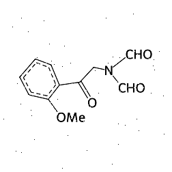 COc1ccccc1C(=O)CN(C=O)C=O